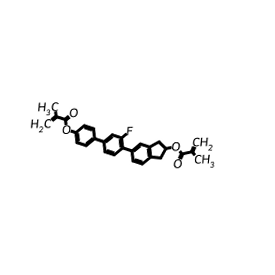 C=C(C)C(=O)Oc1ccc(-c2ccc(-c3ccc4c(c3)CC(OC(=O)C(=C)C)C4)c(F)c2)cc1